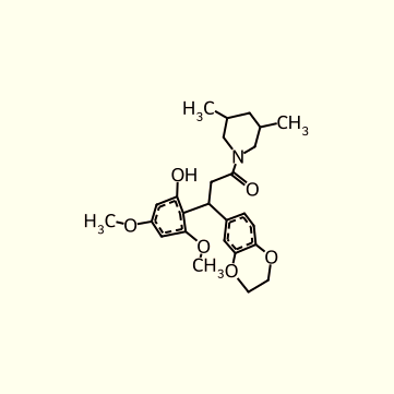 COc1cc(O)c(C(CC(=O)N2CC(C)CC(C)C2)c2ccc3c(c2)OCCO3)c(OC)c1